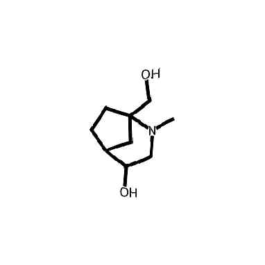 CN1CC(O)C2CCC1(CO)C2